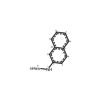 CCCCCCNc1ccc2ccccc2c1